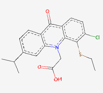 CCSc1c(Cl)ccc2c(=O)c3ccc(C(C)C)cc3n(CC(=O)O)c12